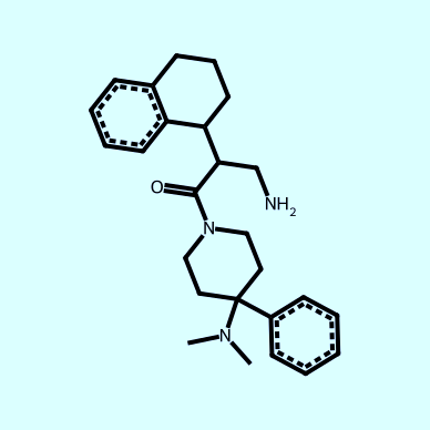 CN(C)C1(c2ccccc2)CCN(C(=O)C(CN)C2CCCc3ccccc32)CC1